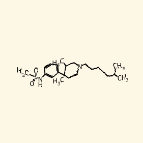 CC(C)CCCCN1CCC(C)(c2cccc(NS(C)(=O)=O)c2)C(C)C1